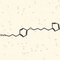 CNCCCc1ccc(OCCCCCc2ccccc2)cc1